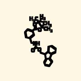 CC1(C)OB(c2cccc(CNC(=O)OCC3c4ccccc4-c4ccccc43)c2)OC1(C)C